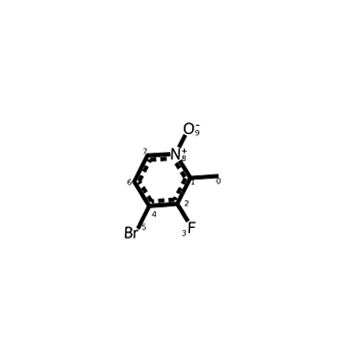 Cc1c(F)c(Br)cc[n+]1[O-]